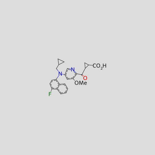 COc1cc(N(CC2CC2)c2ccc(F)c3ccccc23)cnc1C(=O)C1CC1C(=O)O